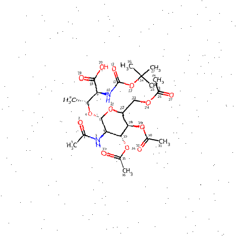 CC(=O)NC1[C@H](O[C@H](C)[C@H](NC(=O)OC(C)(C)C)C(=O)O)OC(COC(C)=O)[C@@H](OC(C)=O)[C@@H]1OC(C)=O